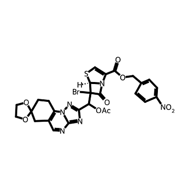 CC(=O)OC(c1nc2ncc3c(n2n1)CCC1(C3)OCCO1)C1(Br)C(=O)N2C(C(=O)OCc3ccc([N+](=O)[O-])cc3)=CS[C@@H]21